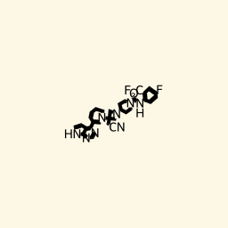 N#CCC1(N2C=C(c3ncnc4[nH]ccc34)C=CCC2)CN(C2CCN(C(=O)Nc3ccc(F)cc3C(F)(F)F)CC2)C1